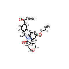 COC(=O)c1ccc(C(C)NC(=O)C2(c3cccc(OCCC(C)C)c3)CCOCC2)cc1